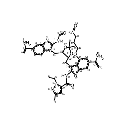 C=C(N)c1ccc2c(c1)nc(NC=O)n2C[C@H]1OC(C)(C)OC1Cn1c(NC(=O)c2cc(C)nn2CC)nc2cc(C(=C)N)cc(OCCCN=O)c21